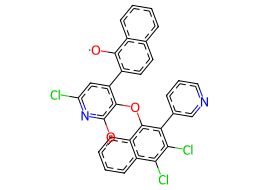 COc1nc(Cl)cc(-c2ccc3ccccc3c2[O])c1Oc1c(-c2cccnc2)c(Cl)c(Cl)c2ccccc12